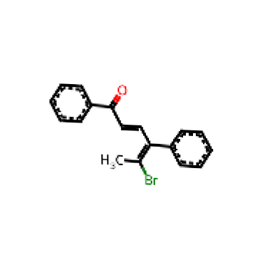 CC(Br)=C(C=CC(=O)c1ccccc1)c1ccccc1